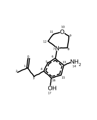 C=C(C)Cc1cc(N2CCOCC2)c(N)cc1O